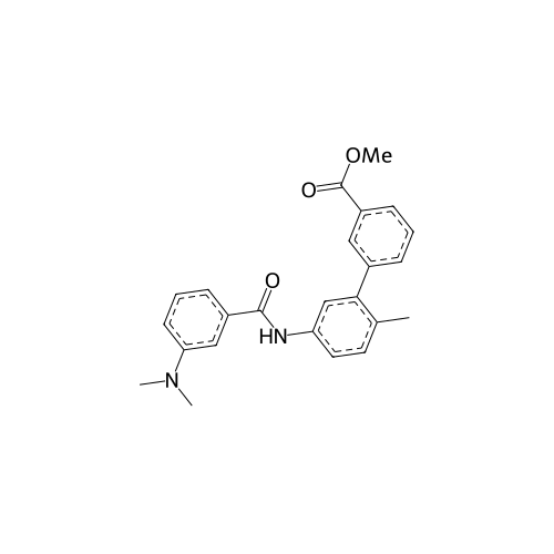 COC(=O)c1cccc(-c2cc(NC(=O)c3cccc(N(C)C)c3)ccc2C)c1